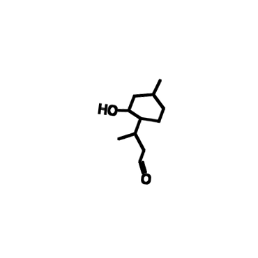 CC1CCC(C(C)CC=O)C(O)C1